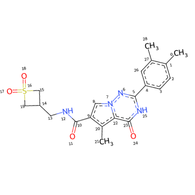 Cc1ccc(-c2nn3cc(C(=O)NCC4CS(=O)(=O)C4)c(C)c3c(=O)[nH]2)cc1C